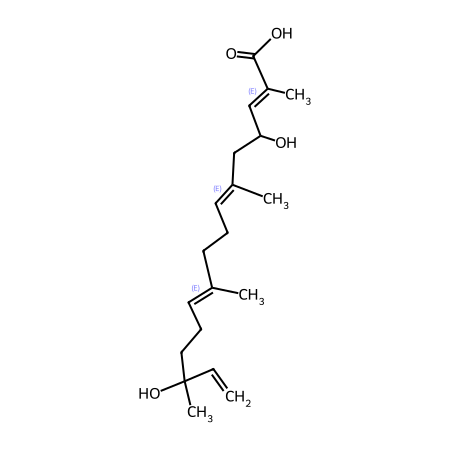 C=CC(C)(O)CC/C=C(\C)CC/C=C(\C)CC(O)/C=C(\C)C(=O)O